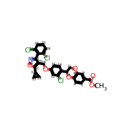 COC(=O)c1ccc2c(c1)OCC(c1ccc(OCc3c(-c4c(Cl)cccc4Cl)noc3C3CC3)cc1Cl)O2